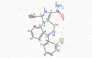 CC(C)(C)c1nc(C(N)=O)c2n1-c1ccccc1C(c1ccccc1Cl)=NC2